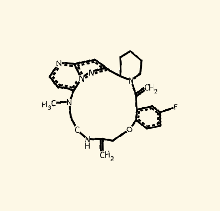 C=C1COc2ccc(F)cc2C(=C)N2CCCCC2c2cc3nccc(n3n2)N(C)CCN1